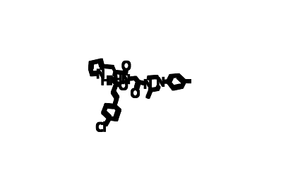 Cc1ccc(N2CCN(C(=O)CNC(=O)[C@H](Cc3ccccn3)NC(=O)/C=C/c3ccc(Cl)cc3)C(C)C2)cc1